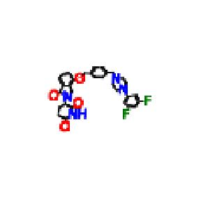 O=C1CCC(N2Cc3c(OCc4ccc(CN5CCN(c6cc(F)cc(F)c6)CC5)cc4)cccc3C2=O)C(=O)N1